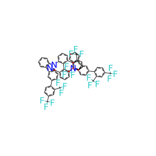 N#Cc1cccc(-n2c3ccccc3c3cc(-c4ccc(C(F)(F)F)cc4C(F)(F)F)ccc32)c1-c1c(-c2c(C(F)(F)F)cccc2C(F)(F)F)cccc1-n1c2ccccc2c2cc(-c3ccc(C(F)(F)F)cc3C(F)(F)F)ccc21